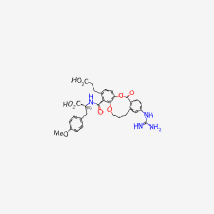 COc1ccc(C[C@H](NC(=O)c2c(CCC(=O)O)ccc3c2OCCCc2cc(NC(=N)N)ccc2C(=O)O3)C(=O)O)cc1